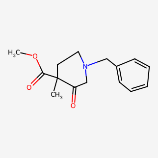 COC(=O)C1(C)CCN(Cc2ccccc2)CC1=O